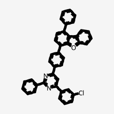 Clc1cccc(-c2cc(-c3ccc(-c4ccc(-c5ccccc5)c5c4oc4ccccc45)cc3)nc(-c3ccccc3)n2)c1